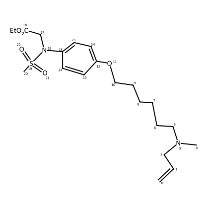 C=CCN(C)CCCCCCOc1ccc(N(CC(=O)OCC)S(C)(=O)=O)cc1